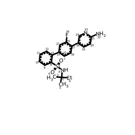 CCC(C)(C)NS(=O)(=O)c1ccccc1-c1ccc(-c2ccc(N)nc2)c(F)c1